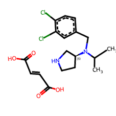 CC(C)N(Cc1ccc(Cl)c(Cl)c1)[C@H]1CCNC1.O=C(O)C=CC(=O)O